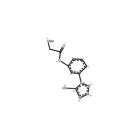 CSCC(=O)Oc1cccc(-n2nnnc2S)c1